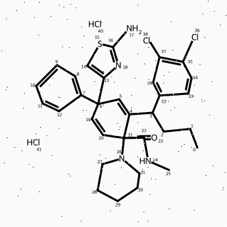 CCCC(C1=CC(c2ccccc2)(c2csc(N)n2)C=CC1(C(=O)NC)N1CCCCC1)c1ccc(Cl)c(Cl)c1.Cl.Cl